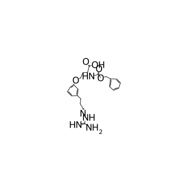 N=C(N)N/N=C/CCc1cccc(OCCC(NC(=O)OCc2ccccc2)C(=O)O)c1